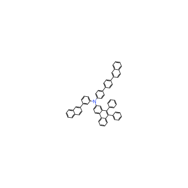 c1ccc(-c2c(-c3ccccc3)c3cc(N(c4ccc(-c5ccc(-c6ccc7ccccc7c6)cc5)cc4)c4cccc(-c5ccc6ccccc6c5)c4)ccc3c3ccccc23)cc1